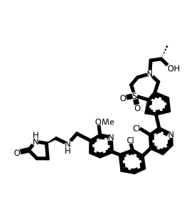 COc1nc(-c2cccc(-c3ccnc(-c4ccc5c(c4)S(=O)(=O)CCN(C[C@H](C)O)C5)c3Cl)c2Cl)ccc1CNC[C@H]1CCC(=O)N1